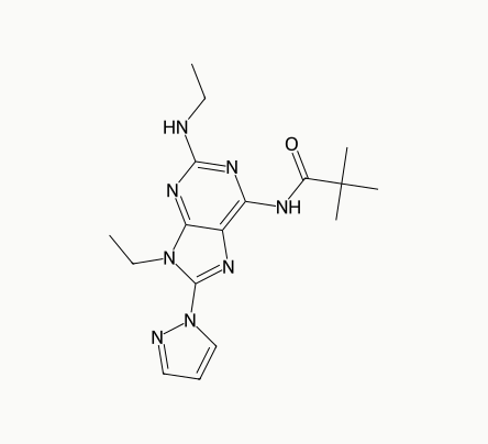 CCNc1nc(NC(=O)C(C)(C)C)c2nc(-n3cccn3)n(CC)c2n1